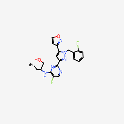 CC(C)CC(CO)Nc1nc(-c2cc(-c3ccon3)n(Cc3ccccc3F)n2)ncc1F